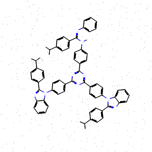 CC(C)c1ccc(/C(=N/c2ccccc2)N(C)c2ccc(-c3nc(-c4ccc(-n5c(-c6ccc(C(C)C)cc6)nc6ccccc65)cc4)nc(-c4ccc(-n5c(-c6ccc(C(C)C)cc6)nc6ccccc65)cc4)n3)cc2)cc1